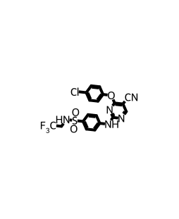 N#Cc1cnc(Nc2ccc(S(=O)(=O)NCC(F)(F)F)cc2)nc1Oc1ccc(Cl)cc1